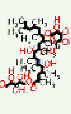 CCC(C)CC(C)CC(C)C(O[C@@H]1O[C@H](CO)[C@@H](O)[C@H](O)[C@@H]1O)C(C)/C=C(\C)C(O)C(C)/C=C(\C)C(O)C(C)/C=C(\C)C(=O)OC[C@@H](O)[C@H](O)[C@H](O)CO